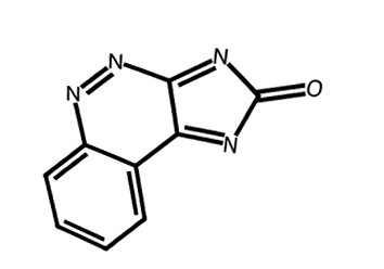 O=C1N=c2nnc3ccccc3c2=N1